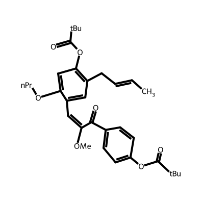 CC=CCc1cc(C=C(OC)C(=O)c2ccc(OC(=O)C(C)(C)C)cc2)c(OCCC)cc1OC(=O)C(C)(C)C